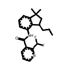 CCCC1CC(C)(C)c2cccc(NC(=O)c3cccnc3C(F)F)c21